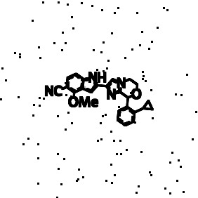 COc1c(C#N)ccc2[nH]c(-c3cn4c(n3)C(c3ccccc3C3CC3)OCC4)cc12